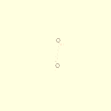 C[S+]([O-])c1cc(C(O)CNCCCCCCNc2ccccc2)ccc1O